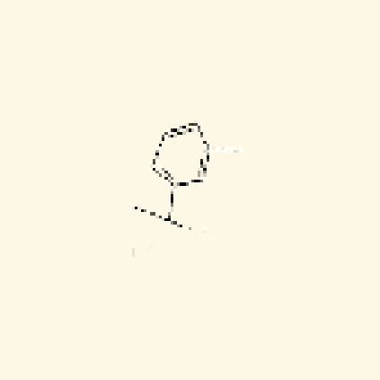 C[C@](N)(I)c1cccc(F)c1